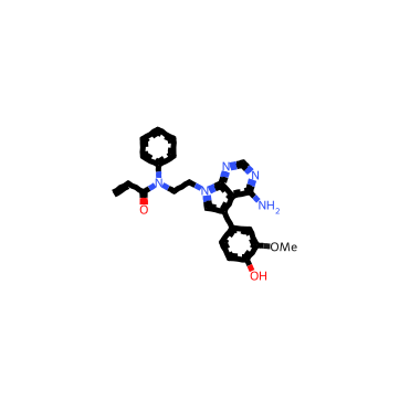 C=CC(=O)N(CCn1cc(-c2ccc(O)c(OC)c2)c2c(N)ncnc21)c1ccccc1